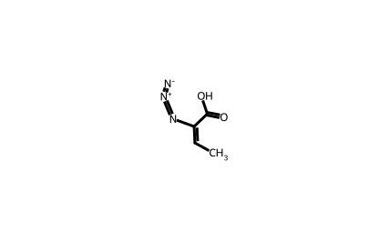 C/C=C(/N=[N+]=[N-])C(=O)O